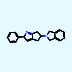 C1=C2CC(N3Cc4ccccc4C3)CC2=NC1c1ccccc1